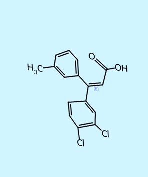 Cc1cccc(/C(=C\C(=O)O)c2ccc(Cl)c(Cl)c2)c1